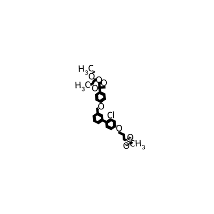 CCOC(=O)C(C)OC1(c2ccc(OCc3cccc(-c4ccc(OCCCS(C)(=O)=O)cc4Cl)c3)cc2)COC1